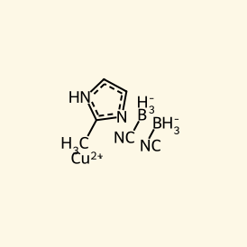 Cc1ncc[nH]1.[BH3-]C#N.[BH3-]C#N.[Cu+2]